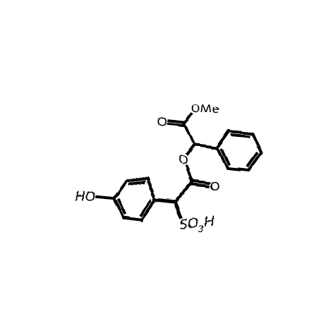 COC(=O)C(OC(=O)C(c1ccc(O)cc1)S(=O)(=O)O)c1ccccc1